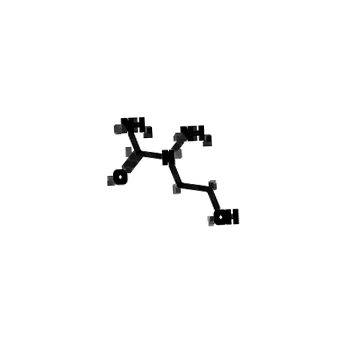 NC(=O)N(N)CCO